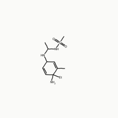 CCC1(N)C=CC(NC(C)NS(C)(=O)=O)C=C1C